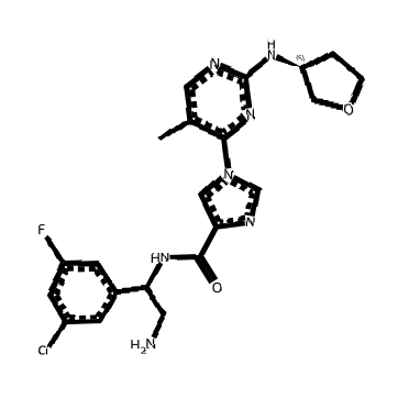 Cc1cnc(N[C@H]2CCOC2)nc1-n1cnc(C(=O)NC(CN)c2cc(F)cc(Cl)c2)c1